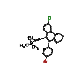 C[Si](C)(C)C#Cc1c(-c2ccc(Br)cc2)c2ccccc2c2cc(Cl)ccc12